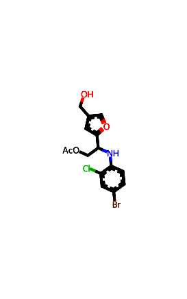 CC(=O)OCC(Nc1ccc(Br)cc1Cl)c1cc(CO)co1